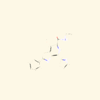 O=C(O)CNC(=O)c1nc(-c2nccs2)c2nc(-c3ccccc3)sc2c1O